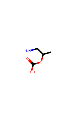 CC(CN)OC(=O)O